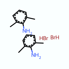 Br.Br.Cc1cccc(C)c1N.Cc1cccc(C)c1N